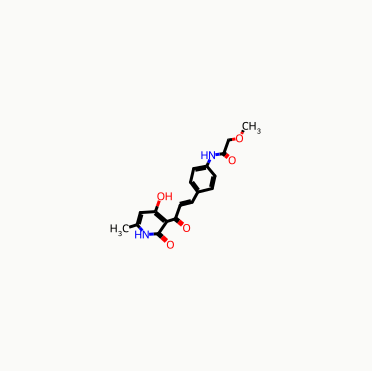 COCC(=O)Nc1ccc(C=CC(=O)c2c(O)cc(C)[nH]c2=O)cc1